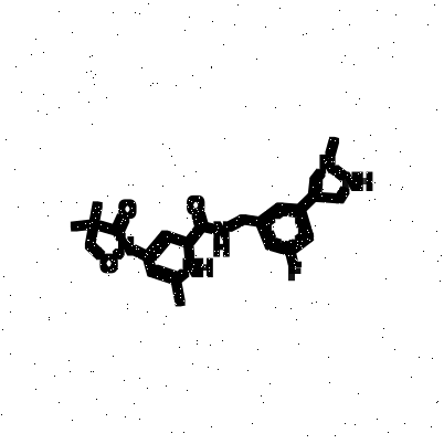 CC1=CC(N2OCC(C)(C)C2=O)=CC(C(=O)NCc2cc(F)cc(C3=CN(C)NC3)c2)N1